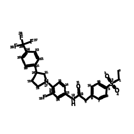 CCS(=O)(=O)c1ccc(CC(=O)Nc2ccc(N3CCC(c4ccc(C(F)(F)F)cc4)C3)c(F)c2)cc1